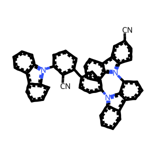 N#Cc1ccc2c(c1)c1ccccc1n2-c1cccc2c3ccccc3n(-c3ccc(-c4cccc(-n5c6ccccc6c6ccccc65)c4C#N)cc3)c12